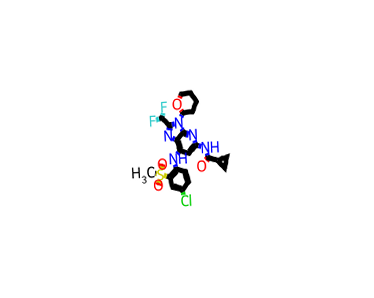 CS(=O)(=O)c1cc(Cl)ccc1Nc1cc(NC(=O)C2CC2)nc2c1nc(C(F)F)n2C1CCCCO1